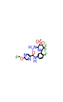 C[C@]1(S(C)(=O)=O)CC(F)(F)[C@@](C)(c2cc(NC(=O)c3cnc(OCF)cn3)ccc2F)N=C1N